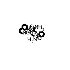 NC(=O)C1C[N+](C(N)=O)(c2ccccc2)CCN1S(=O)(=O)c1cccc2cccnc12